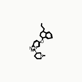 CCCC1CCC(Oc2ccc3nnc([C@@H]4CCCN(C)C4)n3c2)c2ccccc21